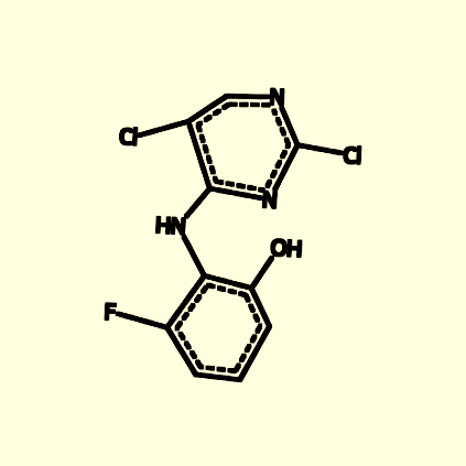 Oc1cccc(F)c1Nc1nc(Cl)ncc1Cl